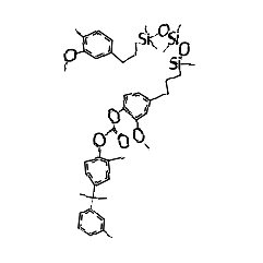 COc1cc(CCC[Si](C)(C)O[Si](C)(C)O[Si](C)(C)CCCc2ccc(OC(=O)Oc3ccc(C(C)(C)c4cccc(C)c4)cc3C)c(OC)c2)ccc1C